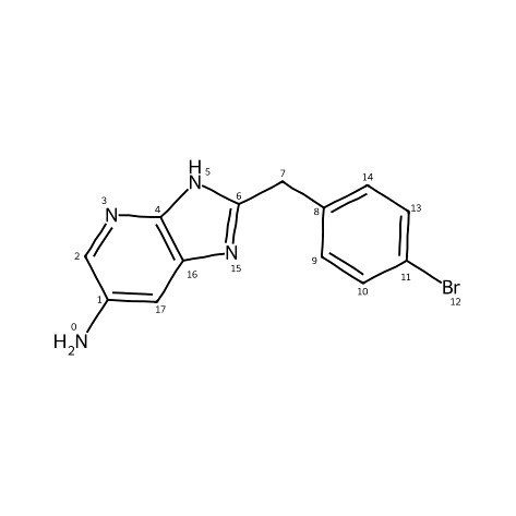 Nc1cnc2[nH]c(Cc3ccc(Br)cc3)nc2c1